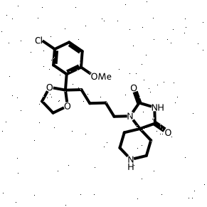 COc1ccc(Cl)cc1C1(CCCCN2C(=O)NC(=O)C23CCNCC3)OCCO1